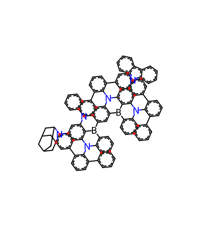 c1ccc(-c2cccc(-c3ccccc3)c2N2c3ccccc3B3c4cc5c(cc4N(c4ccccc4)c4cc(N6C7CC8CC(C7)CC6C8)cc2c43)N(c2c(-c3ccccc3)cccc2-c2ccccc2)c2cc(-n3c4ccccc4c4ccccc43)cc3c2B5c2ccccc2N3c2c(-c3ccccc3)cccc2-c2ccccc2)cc1